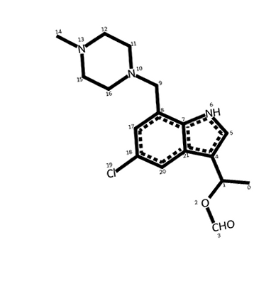 CC(OC=O)c1c[nH]c2c(CN3CCN(C)CC3)cc(Cl)cc12